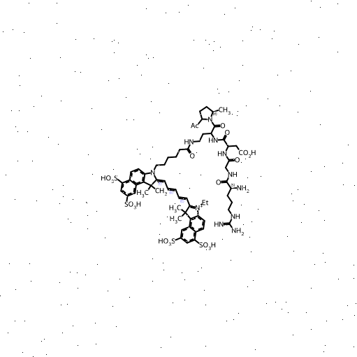 CC[N+]1=C(/C=C/C=C/C=C2/N(CCCCCC(=O)NCCC(NC(=O)C(CC(=O)O)NC(=O)CNC(=O)[C@@H](N)CCCNC(=N)N)C(=O)N3C(C(C)=O)CC[C@H]3C)c3ccc4c(S(=O)(=O)O)cc(S(=O)(=O)O)cc4c3C2(C)C)C(C)(C)c2c1ccc1c(S(=O)(=O)O)cc(S(=O)(=O)O)cc21